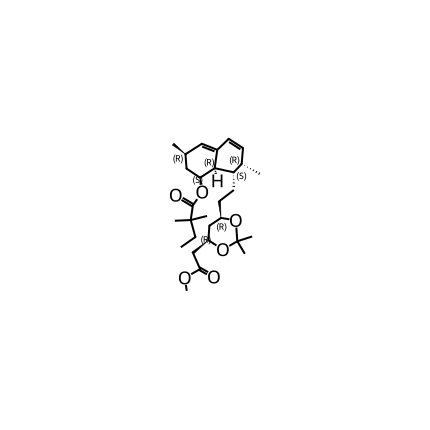 CCC(C)(C)C(=O)O[C@H]1C[C@@H](C)C=C2C=C[C@H](C)[C@H](CC[C@@H]3C[C@H](CC(=O)OC)OC(C)(C)O3)[C@H]21